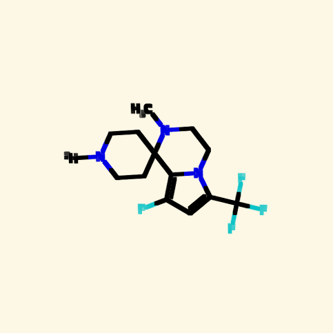 [2H]N1CCC2(CC1)c1c(F)cc(C(F)(F)F)n1CCN2C